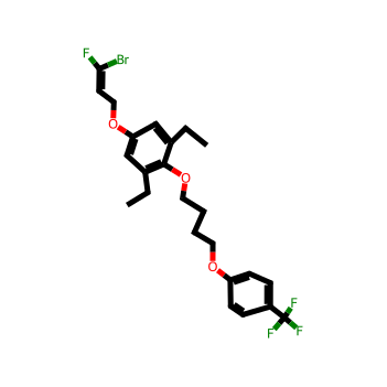 CCc1cc(OC/C=C(/F)Br)cc(CC)c1OCCCCOc1ccc(C(F)(F)F)cc1